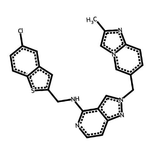 Cc1cn2cc(Cn3cc4c(NCc5cc6cc(Cl)ccc6s5)nccc4n3)ccc2n1